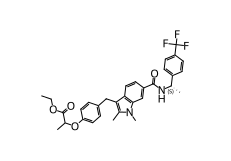 CCOC(=O)C(C)Oc1ccc(Cc2c(C)n(C)c3cc(C(=O)N[C@@H](C)c4ccc(C(F)(F)F)cc4)ccc23)cc1